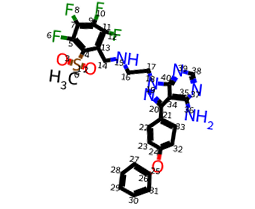 CS(=O)(=O)c1c(F)c(F)c(F)c(F)c1CNCCn1nc(-c2ccc(Oc3ccccc3)cc2)c2c(N)ncnc21